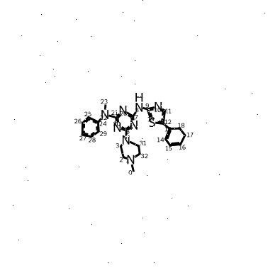 CN1CCN(c2nc(Nc3ncc(C4=CC=CCC4)s3)nc(N(C)c3ccccc3)n2)CC1